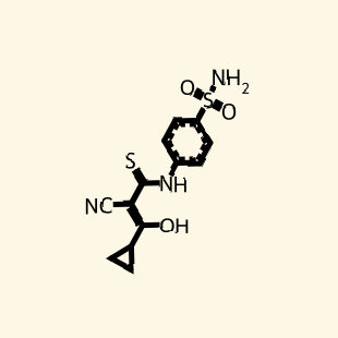 N#CC(C(=S)Nc1ccc(S(N)(=O)=O)cc1)=C(O)C1CC1